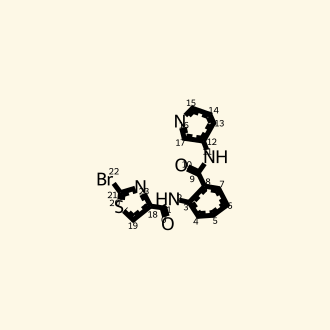 O=C(Nc1ccccc1C(=O)Nc1cccnc1)c1csc(Br)n1